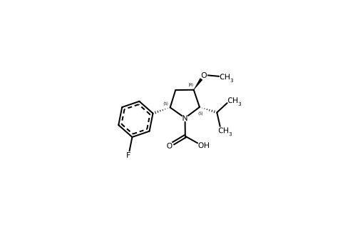 CO[C@@H]1C[C@@H](c2cccc(F)c2)N(C(=O)O)[C@H]1C(C)C